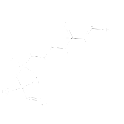 C=C[Si](C)(C)O[Si](C)(C)CCCOC(=O)C=CC